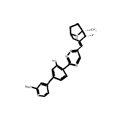 COc1cc(-c2ccc(-c3ncc(/C=C4\CC5CC[C@](C)(N5)[C@@H]4F)nn3)c(O)c2)ccn1